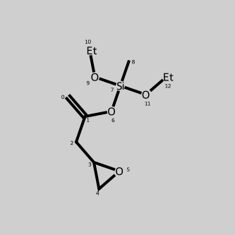 C=C(CC1CO1)O[Si](C)(OCC)OCC